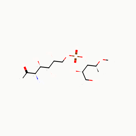 CC(=O)C(=O)[C@H](N)[C@@H](O)[C@@H](O)[C@H](O)COS(=O)(=O)O[C@@H]([C@H](O)[C@H](O)C(=O)O)[C@H](C=O)OS(=O)(=O)O